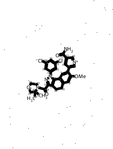 COc1cc2c(cc1-c1cncc(C(N)=O)c1)-c1c(c(C(=O)N3CCOCC3(C)C)nn1-c1cc(Cl)cc(Cl)c1)CC2